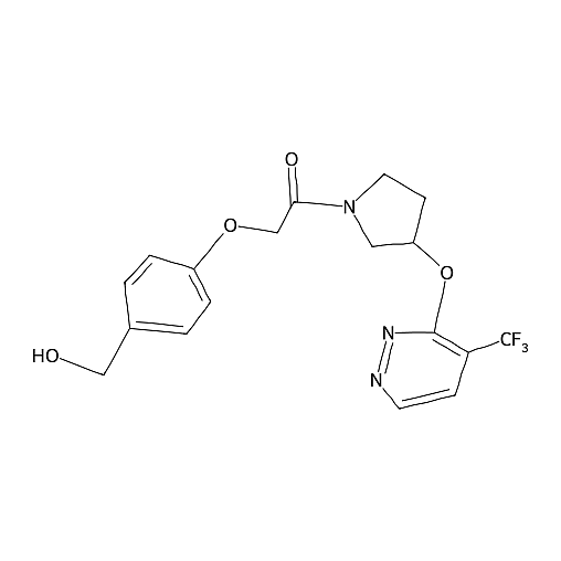 O=C(COc1ccc(CO)cc1)N1CCC(Oc2nnccc2C(F)(F)F)C1